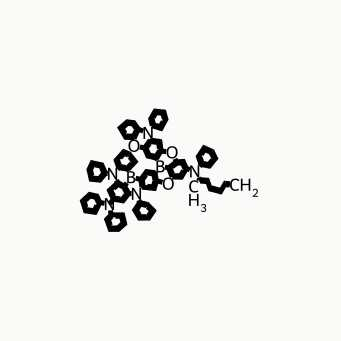 C=C/C=C\C=C(/C)N(c1ccccc1)c1cc2c3c(c1)Oc1cc4c(cc1B3c1cc3c(cc1O2)N(c1ccccc1)c1ccccc1O3)B1c2ccccc2N(c2ccccc2)c2cc(N(c3ccccc3)c3ccccc3)cc(c21)N4c1ccccc1